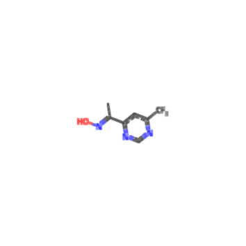 CC(=NO)c1cc(C(F)(F)F)ncn1